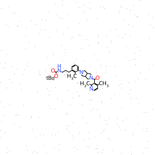 Cc1ccnc(C)c1C(=O)N1CC2CN(c3cccc(CCCNC(=O)OC(C)(C)C)c3C)CC2C1